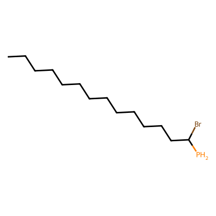 CCCCCCCCCCCCCC(P)Br